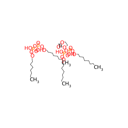 CCCCCCCCOOP(=O)(O)OP(=O)(O)OOCCCCCCCC.CCCCCCCCOOP(=O)(O)OP(=O)(O)OOCCCCCCCC.[O]=[Ti]1[O]CC[O]1